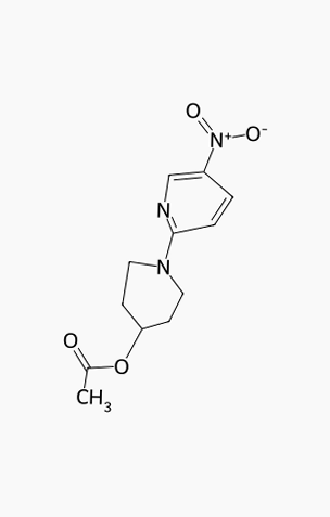 CC(=O)OC1CCN(c2ccc([N+](=O)[O-])cn2)CC1